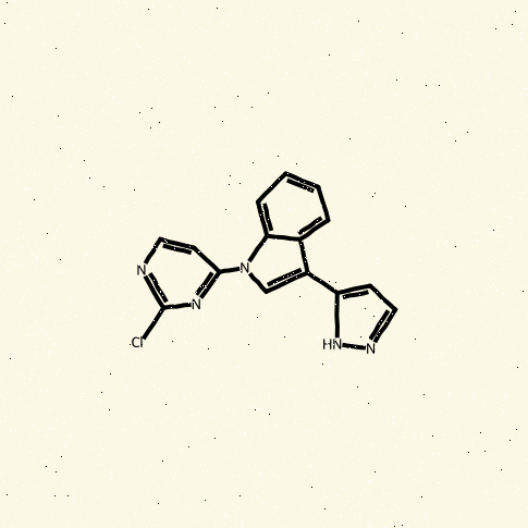 Clc1nccc(-n2cc(-c3ccn[nH]3)c3ccccc32)n1